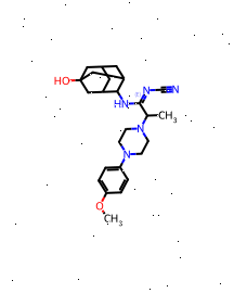 COc1ccc(N2CCN(C(C)/C(=N\C#N)NC3C4CC5CC3CC(O)(C5)C4)CC2)cc1